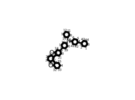 c1ccc(-c2ccc(N(c3ccccc3)c3ccc(-c4ccc5c(c4)oc4ccc6oc7ccccc7c6c45)cc3)cc2)cc1